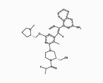 C=N/C(=C(/F)c1nc(OC[C@@H]2CCCN2C)nc(N2CCN(C(=O)C(C)F)[C@@H](CC#N)C2)c1C)c1nc(N)cc2ccccc12